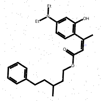 CCN(CC)c1ccc(/C(C)=C\C(=O)OCCC(C)CCc2ccccc2)c(O)c1